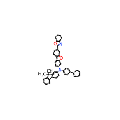 CC1(C)c2ccccc2-c2ccc(N(c3ccc(-c4ccccc4)cc3)c3ccc4c(c3)oc3cc(-c5nc6ccccc6o5)ccc34)cc21